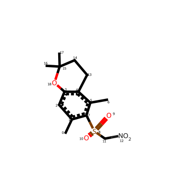 Cc1cc2c(c(C)c1S(=O)(=O)C[N+](=O)[O-])CCC(C)(C)O2